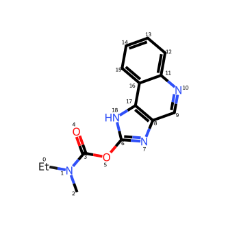 CCN(C)C(=O)Oc1nc2cnc3ccccc3c2[nH]1